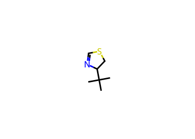 CC(C)(C)C1CSC=N1